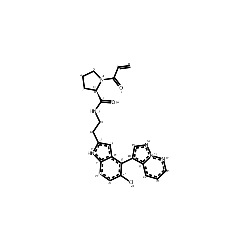 C=CC(=O)N1CCC[C@@H]1C(=O)NCCc1cc2c(-c3cnn4ncccc34)c(Cl)cnc2[nH]1